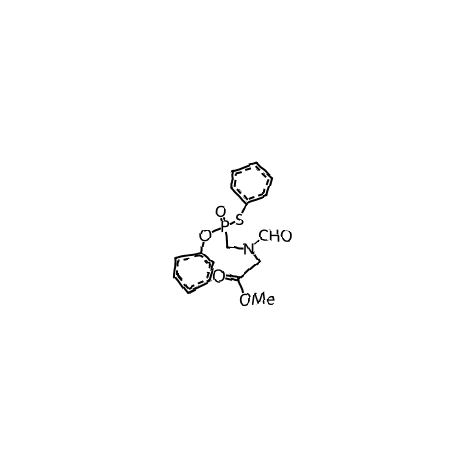 COC(=O)CN(C=O)CP(=O)(Oc1ccccc1)Sc1ccccc1